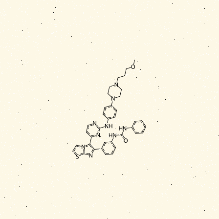 COCCCN1CCN(c2ccc(Nc3nccc(-c4c(-c5cccc(NC(=O)Nc6ccccc6)c5)nc5sccn45)n3)cc2)CC1